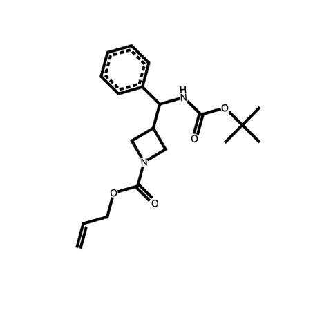 C=CCOC(=O)N1CC(C(NC(=O)OC(C)(C)C)c2ccccc2)C1